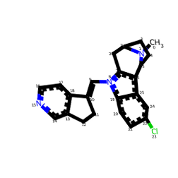 CN1C2CCC1c1c(n(/C=C3\CCc4cnccc43)c3ccc(Cl)cc13)C2